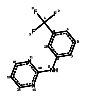 FC(F)(F)c1cccc(Nc2ncccn2)c1